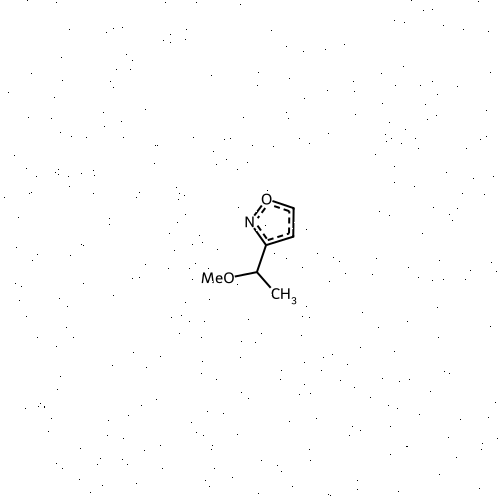 [CH]OC(C)c1ccon1